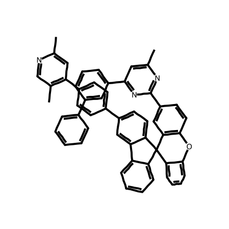 Cc1cc(-c2ccc(-c3ccc4c(c3)-c3ccccc3C43c4ccccc4Oc4ccc(-c5nc(C)cc(-c6cccc(-c7ccccc7)c6)n5)cc43)cc2)c(C)cn1